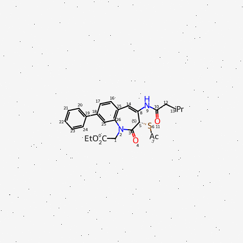 CCOC(=O)CN1C(=O)[C@@H](SC(C)=O)C(NC(=O)CC(C)C)=Cc2ccc(-c3ccccc3)cc21